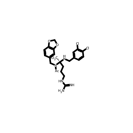 CC(=O)N(Cc1ccc2c(c1)OCO2)[C@](CCCNC(=N)N)(NCc1ccc(Cl)c(Cl)c1)C(=O)O